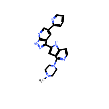 CN1CCN(c2nccc3[nH]c(-c4n[nH]c5ncc(-c6ccccn6)cc45)cc23)CC1